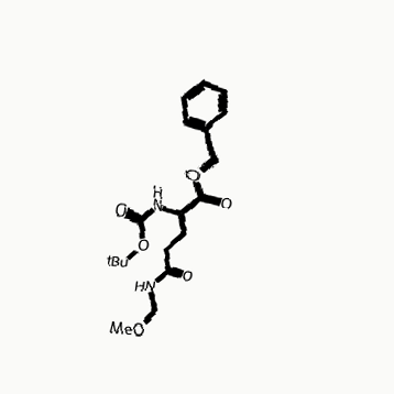 COCNC(=O)CCC(NC(=O)OC(C)(C)C)C(=O)OCc1ccccc1